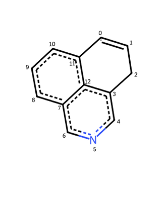 [C]1=CCc2cncc3cccc1c23